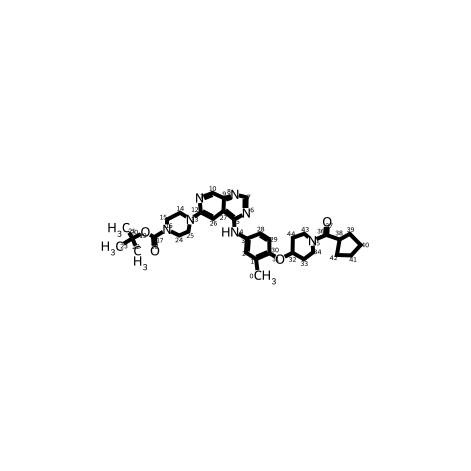 Cc1cc(Nc2ncnc3cnc(N4CCN(C(=O)OC(C)(C)C)CC4)cc23)ccc1OC1CCN(C(=O)C2CCCC2)CC1